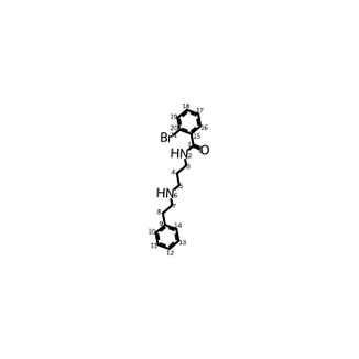 O=C(NCCCNCCc1ccccc1)c1ccccc1Br